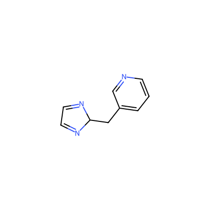 C1=NC(Cc2cccnc2)N=C1